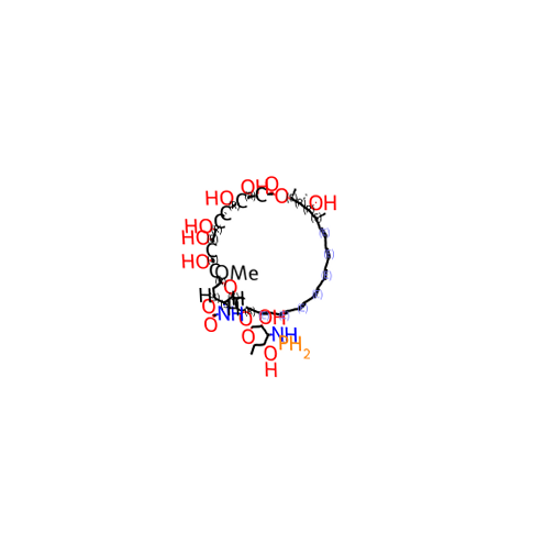 CO[C@]12C[C@@H](O)C[C@@H](O)[C@H](O)CC[C@@H](O)C[C@@H](O)CC(=O)O[C@@H](C)[C@H](C)[C@H](O)[C@@H](C)/C=C/C=C/C=C/C=C/C=C/C=C/C=C/[C@H](OC3OC(C)C(O)C(NP)C3O)C[C@H](O1)[C@@H]1NC(=O)O[C@H]1C2